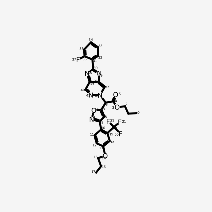 CCCOC(=O)C(c1cc(-c2ccc(OCCC)cc2C(F)(F)F)no1)n1cc2nc(-c3ccccc3F)nc-2cn1